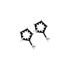 Sc1cccs1.Sc1cccs1